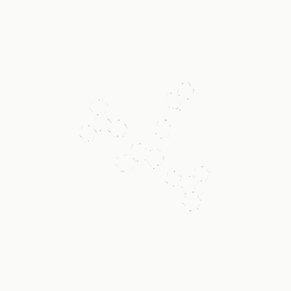 c1ccc2nc(-c3ccc(-c4cc(-c5ccc6c7ccccc7c7ccccc7c6c5)nc5c4cc(-c4ccc6c7ccccc7c7ccccc7c6c4)c4ccccc45)cc3)ccc2c1